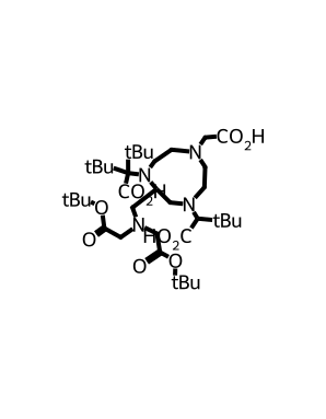 CC(C)(C)OC(=O)CN(CC(=O)OC(C)(C)C)CC1CN(C(C(=O)O)C(C)(C)C)CCN(CC(=O)O)CCN1C(C(=O)O)(C(C)(C)C)C(C)(C)C